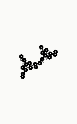 c1ccc(-n2c3ccccc3c3c(N(c4ccc(-c5cccc6ccccc56)cc4)c4ccc(-c5ccc6c(c5)sc5ccc(-c7ccc(-n8c9ccccc9c9c(N(c%10ccc(-c%11ccc%12ccccc%12c%11)cc%10)c%10ccc(-c%11ccc%12c(c%11)sc%11ccccc%11%12)c%11oc%12ccccc%12c%10%11)cccc98)c8ccccc78)cc56)c5sc6ccccc6c45)cccc32)cc1